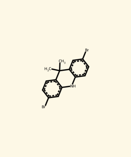 CC1(C)c2ccc(Br)cc2Nc2ccc(Br)cc21